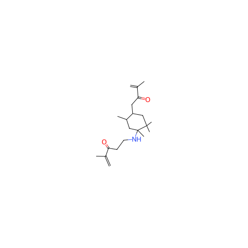 C=C(C)C(=O)CCNC1(C)CC(C)C(CC(=O)C(=C)C)CC1(C)C